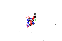 CC1(C)C(c2ccccc2)=CC=CC1(COc1cc(OCc2cncc(C#N)c2)c(CN2CCCC[C@H]2C(=O)Oc2ccc([N+](=O)[O-])cc2)cc1Cl)OCCCN1CC[C@@H](O)C1